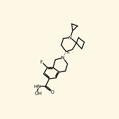 O=C(NO)c1cc(F)c2c(c1)CCN([C@@H]1CCN(C3CC3)C3(CCC3)C1)C2